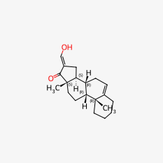 C[C@]12CCCCC1=CC[C@@H]1[C@H]2CC[C@]2(C)C(=O)C(=CO)C[C@@H]12